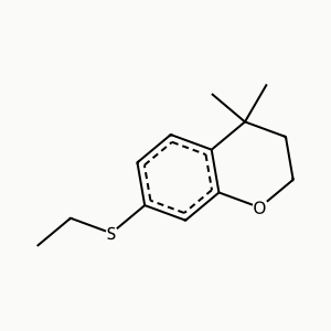 CCSc1ccc2c(c1)OCCC2(C)C